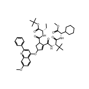 CC[C@H](NC(=O)C1CC(Oc2cc(-c3ccccc3)nc3cc(OC)ccc23)C=C1C(=O)N[C@H](C(=O)N[C@H](C(=O)OC)C1CCCCC1)C(C)(C)C)C(=O)OC(C)(C)C